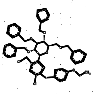 CCOc1ccc(Cc2cc([C@@H]3O[C@H](COCc4ccccc4)[C@@H](OCc4ccccc4)[C@H](OCc4ccccc4)[C@H]3OCc3ccccc3)c(CCl)cc2Cl)cc1